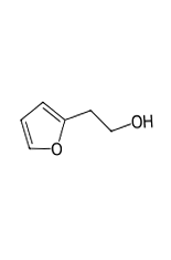 OCCc1ccco1